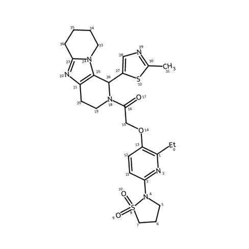 CCc1nc(N2CCCS2(=O)=O)ccc1OCC(=O)N1CCc2nc3n(c2C1c1cnc(C)s1)CCCC3